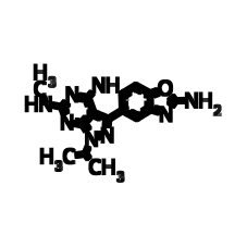 CNc1nc(N)c2c(-c3ccc4oc(N)nc4c3)nn(C(C)C)c2n1